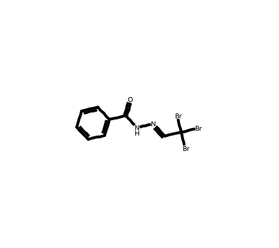 O=C(NN=CC(Br)(Br)Br)c1ccccc1